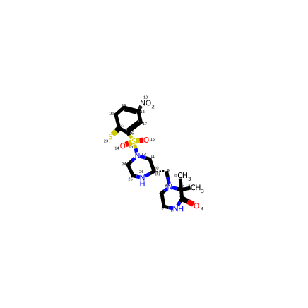 CC1(C)C(=O)NCCN1C[C@H]1CN(S(=O)(=O)C2=CC([N+](=O)[O-])=CCC2=S)CCN1